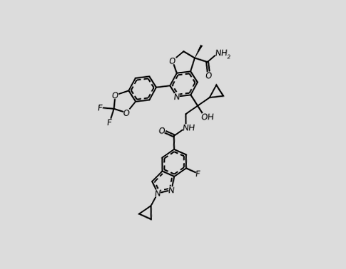 C[C@]1(C(N)=O)COc2c1cc(C(O)(CNC(=O)c1cc(F)c3nn(C4CC4)cc3c1)C1CC1)nc2-c1ccc2c(c1)OC(F)(F)O2